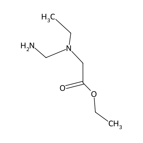 CCOC(=O)CN(CC)CN